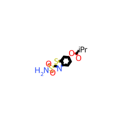 CC(C)C(=O)Oc1ccc2nc(S(N)(=O)=O)sc2c1